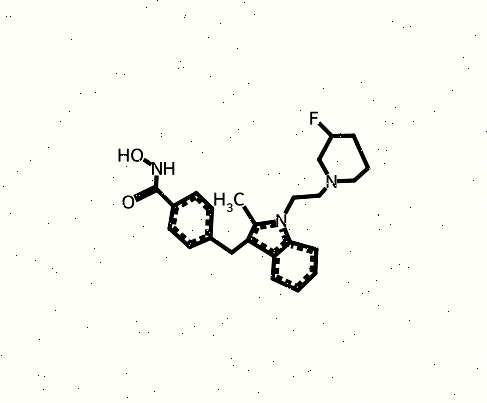 Cc1c(Cc2ccc(C(=O)NO)cc2)c2ccccc2n1CCN1CCCC(F)C1